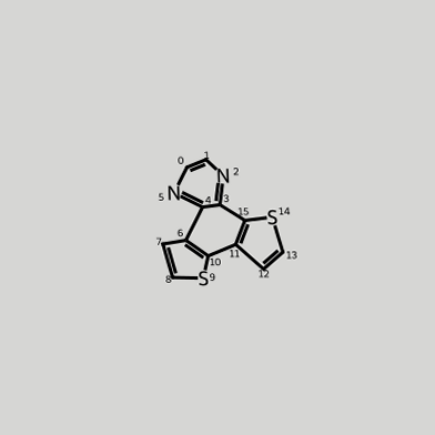 c1cnc2c(n1)c1ccsc1c1ccsc12